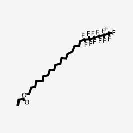 C=CC(=O)OCCCCCCCCCCCCCCCCCCC(F)(F)C(F)(F)C(F)(F)C(F)(F)C(F)(F)C(F)(F)F